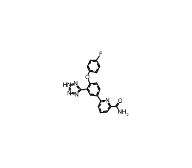 NC(=O)c1cccc(-c2ccc(Oc3ccc(F)cc3)c(-c3nn[nH]n3)c2)n1